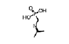 [CH2]C(C)=NCP(=O)(O)O